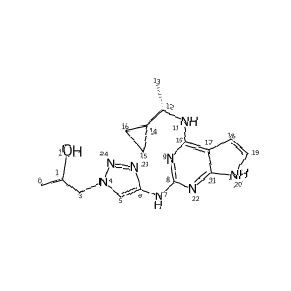 CC(O)Cn1cc(Nc2nc(N[C@@H](C)C3CC3)c3cc[nH]c3n2)nn1